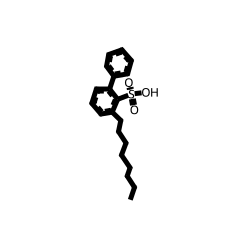 CCCCCCCCc1cccc(-c2ccccc2)c1S(=O)(=O)O